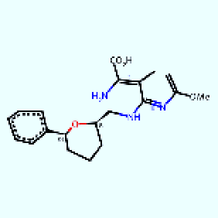 C=C(/N=C(NC[C@H]1CCC[C@@H](c2ccccc2)O1)\C(C)=C(/N)C(=O)O)OC